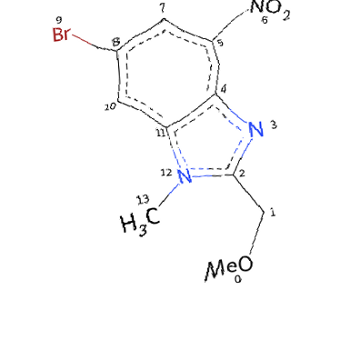 COCc1nc2c([N+](=O)[O-])cc(Br)cc2n1C